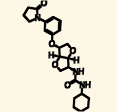 O=C(NC1CCCCC1)N[C@H]1CO[C@H]2[C@@H]1OC[C@@H]2Oc1cccc(N2CCCC2=O)c1